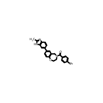 Cc1nc2ccc(-c3ccc4c(c3)CN(C(=O)c3ccc(C(C)C)cc3)CCO4)cc2[nH]1